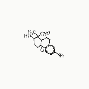 CC(C)c1ccc2c(c1)CCC1C2(C)CCC(O)C1(C)C=O